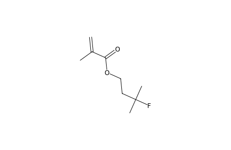 C=C(C)C(=O)OCCC(C)(C)F